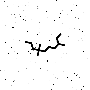 CCCC(C)(C)CCCC(C)CC